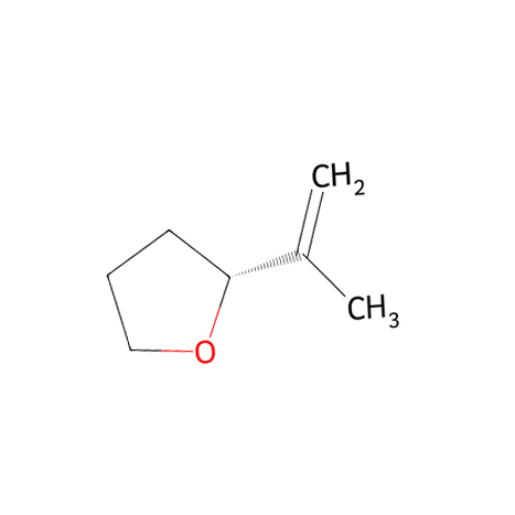 C=C(C)[C@H]1CCCO1